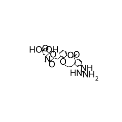 CN(C(=O)CCc1cccc2c1OCCCc1cc(NC(=N)N)ccc1C(=O)O2)[C@@H](CC(=O)O)C(=O)O